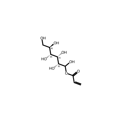 C=CC(=O)OC(O)[C@H](O)[C@@H](O)[C@H](O)[C@H](O)CO